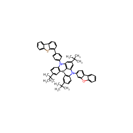 CC(C)(C)c1ccc2c(c1)B1c3cc(C(C)(C)C)ccc3N(c3ccc4c(c3)oc3ccccc34)c3cc(C(C)(C)C)cc(c31)N2c1ccc(-c2cccc3c2sc2ccccc23)cc1